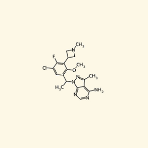 COc1c(C(C)n2nc(C)c3c(N)ncnc32)cc(Cl)c(F)c1C1CN(C)C1